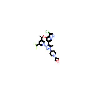 Cc1c(-c2cc(O[C@H](C)c3cncc(C(F)F)c3)c3c(Cl)cnn3c2)nnn1C1CCN(C2COC2)CC1